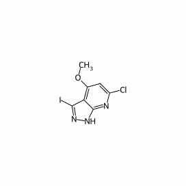 COc1cc(Cl)nc2[nH]nc(I)c12